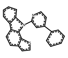 c1ccc(-c2ccnc(-n3c4ccccc4c4ccc5ccsc5c43)c2)cc1